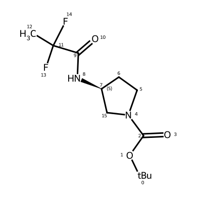 CC(C)(C)OC(=O)N1CC[C@H](NC(=O)C(C)(F)F)C1